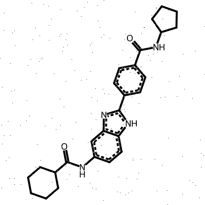 O=C(NC1CCCC1)c1ccc(-c2nc3cc(NC(=O)C4CCCCC4)ccc3[nH]2)cc1